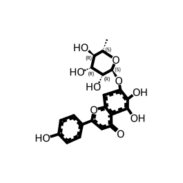 C[C@@H]1O[C@@H](Oc2cc3oc(-c4ccc(O)cc4)cc(=O)c3c(O)c2O)[C@H](O)[C@H](O)[C@H]1O